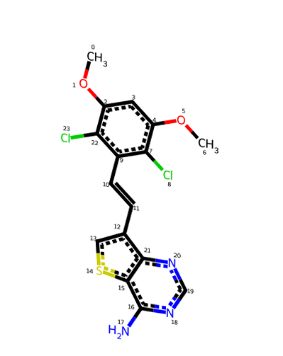 COc1cc(OC)c(Cl)c(C=Cc2csc3c(N)ncnc23)c1Cl